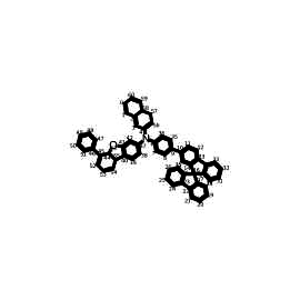 C1=CC2=CC(N(c3ccc(-c4ccc5c(c4)C4(c6ccccc6-c6ccccc64)c4ccccc4-5)cc3)c3ccc4c(c3)OC3C(c5ccccc5)=CC=CC43)=CCC2C=C1